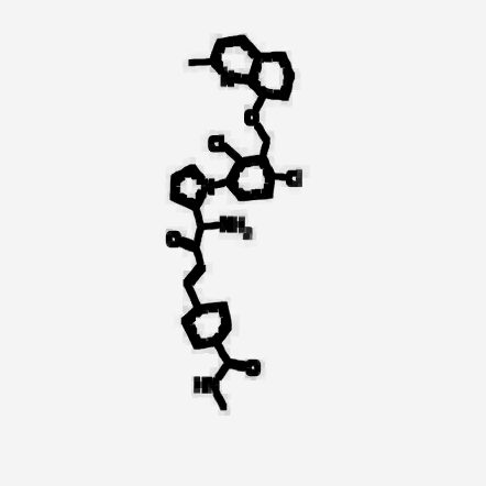 CNC(=O)c1ccc(/C=C/C(=O)C(N)c2cccn2-c2ccc(Cl)c(COc3cccc4ccc(C)nc34)c2Cl)cc1